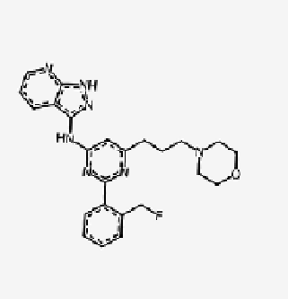 FCc1ccccc1-c1nc(CCCN2CCOCC2)cc(Nc2n[nH]c3ncccc23)n1